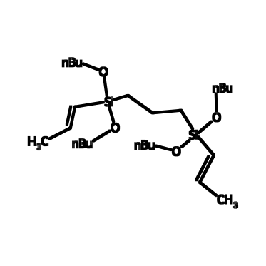 CC=C[Si](CCC[Si](C=CC)(OCCCC)OCCCC)(OCCCC)OCCCC